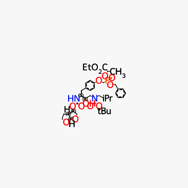 CCOC(=O)C(C)OP(=O)(COc1ccc(C[C@H](NC(=O)O[C@H]2CO[C@H]3OCC[C@H]32)[C@H](O)CN(CC(C)C)C(=O)OC(C)(C)C)cc1)OCc1ccccc1